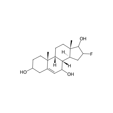 C[C@]12CCC(O)CC1=CC(O)[C@@H]1[C@H]2CC[C@]2(C)C(O)C(F)C[C@@H]12